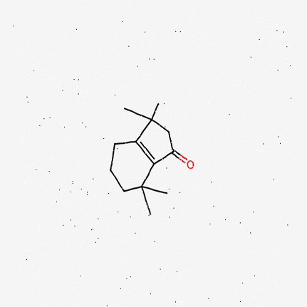 CC1(C)CC(=O)C2=C1CCCC2(C)C